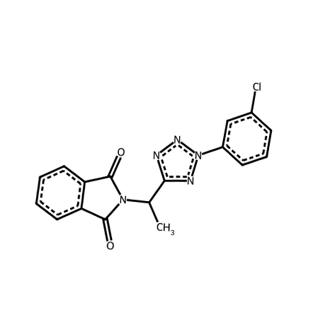 CC(c1nnn(-c2cccc(Cl)c2)n1)N1C(=O)c2ccccc2C1=O